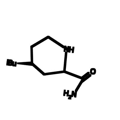 CC[C@H](C)C1CCNC(C(N)=O)C1